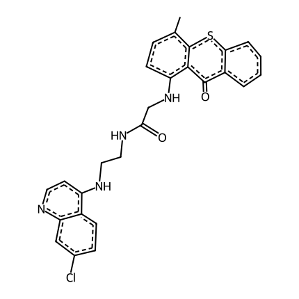 Cc1ccc(NCC(=O)NCCNc2ccnc3cc(Cl)ccc23)c2c(=O)c3ccccc3sc12